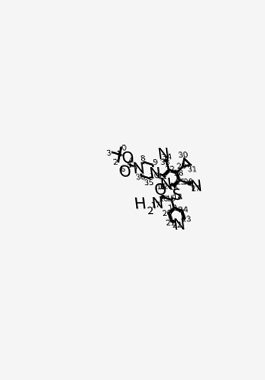 CC(C)(C)OC(=O)N1CCN(c2nc(SC(C(N)=O)c3ccncc3)c(C#N)c(C3CC3)c2C#N)CC1